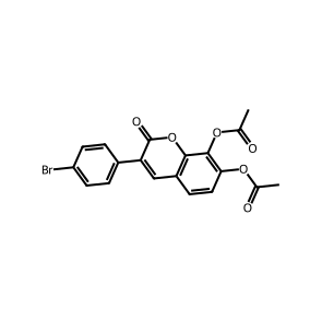 CC(=O)Oc1ccc2cc(-c3ccc(Br)cc3)c(=O)oc2c1OC(C)=O